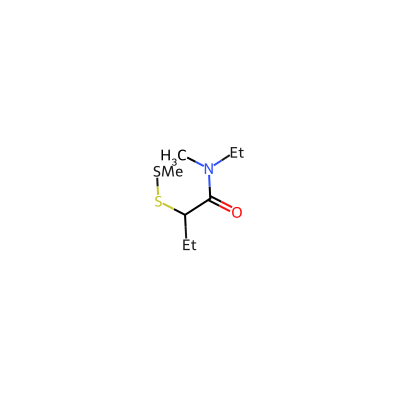 CCC(SSC)C(=O)N(C)CC